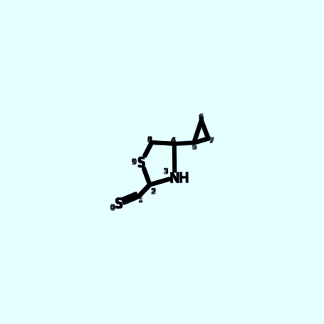 S=CC1NC(C2CC2)CS1